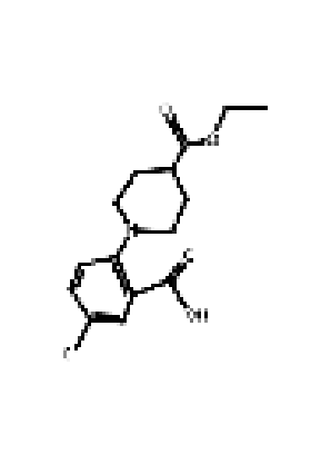 CCOC(=O)C1CCN(c2ccc(Cl)cc2C(=O)O)CC1